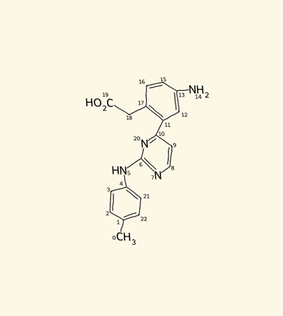 Cc1ccc(Nc2nccc(-c3cc(N)ccc3CC(=O)O)n2)cc1